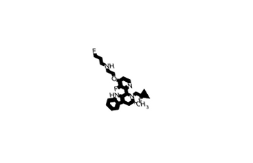 C[C@@H]1Cc2c([nH]c3ccccc23)C(c2nccc(OCCNCCCF)c2F)N1CC1(F)CC1